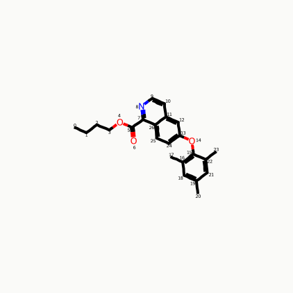 CCCCOC(=O)c1nccc2cc(Oc3c(C)cc(C)cc3C)ccc12